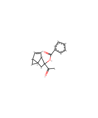 CC(=O)C1(OC(=O)c2ccccc2)CC23CC2C=CC13